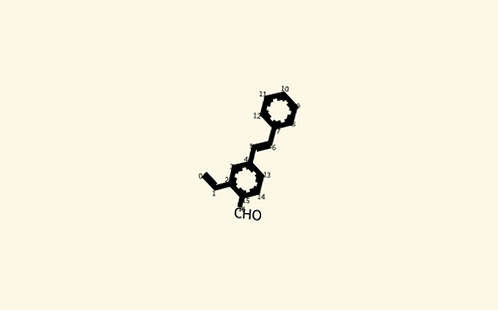 C=Cc1cc(/C=C/c2ccccc2)ccc1C=O